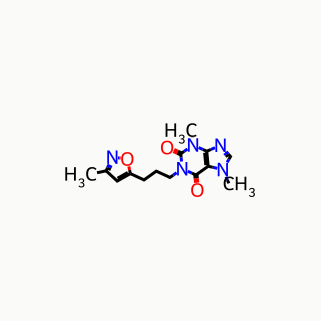 Cc1cc(CCCn2c(=O)c3c(ncn3C)n(C)c2=O)on1